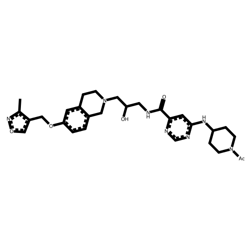 CC(=O)N1CCC(Nc2cc(C(=O)NCC(O)CN3CCc4cc(OCc5conc5C)ccc4C3)ncn2)CC1